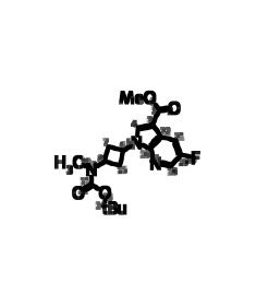 COC(=O)c1cn(C2CC(N(C)C(=O)OC(C)(C)C)C2)c2ncc(F)cc12